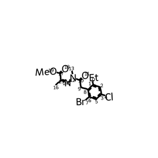 CCc1cc(Cl)cc(Br)c1CC(=O)N(C)N=C(C)C(=O)OC